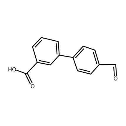 O=Cc1ccc(-c2cccc(C(=O)O)c2)cc1